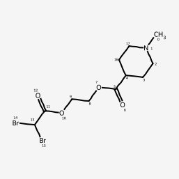 CN1CCC(C(=O)OCCOC(=O)C(Br)Br)CC1